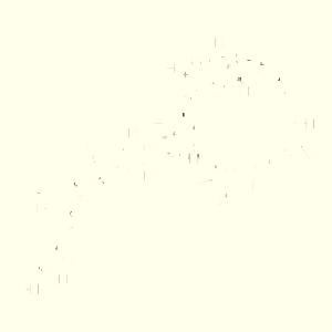 C=C1C[C@@H]2CC[C@@]34C[C@]5(C)O[C@H]6[C@@H](O3)[C@H]3O[C@H](CC[C@@H]3O[C@H]6C5O4)CC(=O)C[C@@H]3[C@@H](C)[C@@H]4O[C@@H]5C[C@]6(C[C@@H]7O[C@]8(C[C@H](C)[C@@H]9O[C@H]([C@@H](O)C[C@@H](O)CO)C[C@@H]9O8)C[C@H](C)[C@@H]7O6)O[C@@H]5C[C@@H]4O[C@H]3C[C@H]3O[C@@H](CC[C@@H]1O2)C[C@@H](C)C3=C